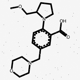 COCC1CCCN1c1ccc(CN2CCOCC2)cc1C(=O)O